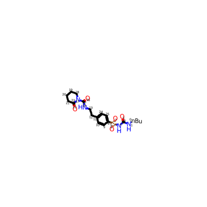 CCCCNC(=O)NS(=O)(=O)c1ccc(CCNC(=O)N2CCCCC2=O)cc1